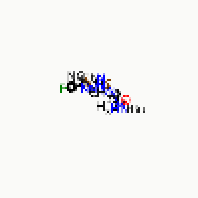 CCc1nc2sc(N3CCC(N(C)C(=O)NC(C)(C)C)C3)nn2c1N(C)c1nc(-c2ccc(F)cc2)c(C#N)s1